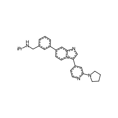 CC(C)NCc1cccc(-c2ccn3c(-c4ccnc(N5CCCC5)c4)cnc3c2)c1